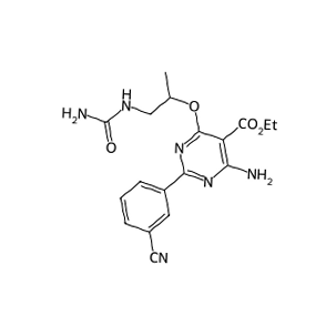 CCOC(=O)c1c(N)nc(-c2cccc(C#N)c2)nc1OC(C)CNC(N)=O